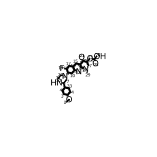 COc1ccc(C2CN(c3cc4nc5c(cc4cc3F)c(=O)c(OC(=O)O)cn5C)CCN2)cc1